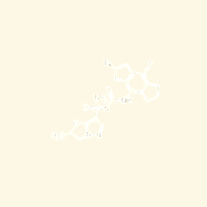 C[C@H]1Cn2ncc([S@@](N)(=O)=NC(=O)Nc3c4c(c(F)c5c3C[C@@H](F)C5)CCC4)c2O1